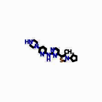 CC1=C(c2ccnc(Nc3ccc(N4CCNCC4)cn3)n2)SCN1C1CCCC1